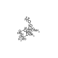 Cc1cc2cc(c1NC(=O)[C@H](CCN)NC(=O)c1ccc(-c3ccc(C4(C(F)(F)F)CC4)cc3)nc1C)-c1cccc(c1)CC(=O)NCC(=O)NC(C(N)=O)C2